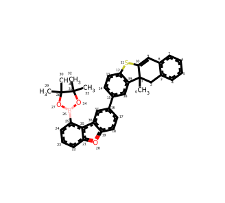 CC12Cc3ccccc3C=C1Sc1ccc(-c3ccc4oc5cccc(B6OC(C)(C)C(C)(C)O6)c5c4c3)cc12